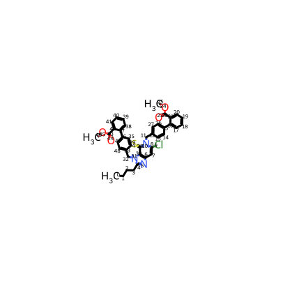 CCCCc1nc2cc(Cl)n(Cc3ccc(-c4ccccc4C(=O)OC)cc3)c(=S)c2n1Cc1ccc(-c2ccccc2C(=O)OC)cc1